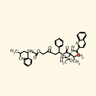 CC(C)CC(NC(=O)OCC1OC1CC(NC(=O)[C@@](NC(=O)c1ccc2ccccc2n1)(C(C)C)S(C)(=O)=O)c1ccccc1)c1ccccc1